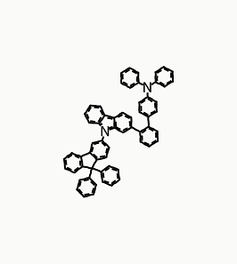 c1ccc(N(c2ccccc2)c2ccc(-c3ccccc3-c3ccc4c5ccccc5n(-c5ccc6c(c5)-c5ccccc5C6(c5ccccc5)c5ccccc5)c4c3)cc2)cc1